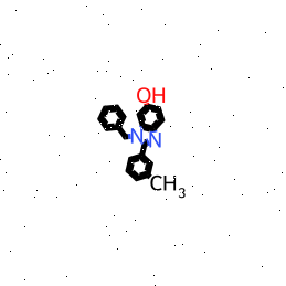 Cc1cccc(-c2nc3ccc(O)cc3n2Cc2ccccc2)c1